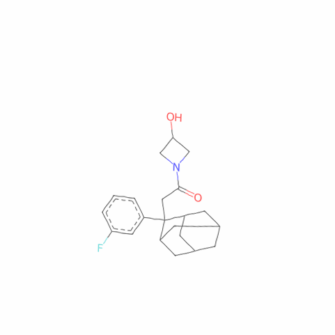 O=C(CC1(c2cccc(F)c2)C2CC3CC(C2)CC1C3)N1CC(O)C1